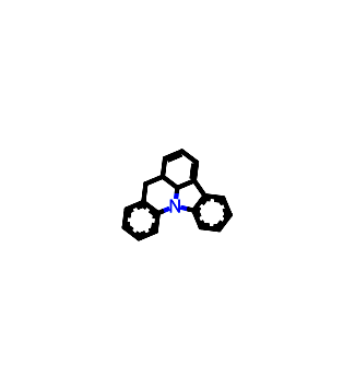 C1=CC2Cc3ccccc3N3c4ccccc4C(=C1)C23